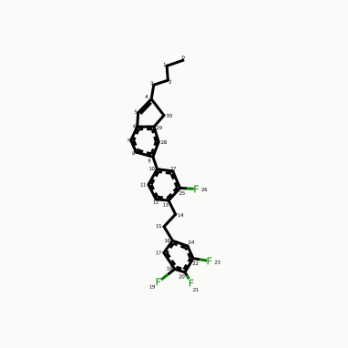 CCCCC1=Cc2ccc(-c3ccc(CCc4cc(F)c(F)c(F)c4)c(F)c3)cc2C1